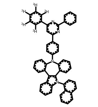 [2H]c1c([2H])c([2H])c(-c2cc(-c3ccc(N4c5ccccc5-c5c(n(-c6cccc7ccccc67)c6ccccc56)-c5ccccc54)cc3)nc(-c3ccccc3)n2)c([2H])c1[2H]